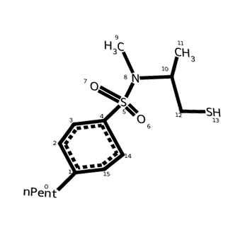 CCCCCc1ccc(S(=O)(=O)N(C)C(C)CS)cc1